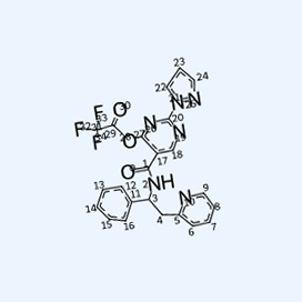 O=C(NC(Cc1ccccn1)c1ccccc1)c1cnc(-n2cccn2)nc1OC(=O)C(F)(F)F